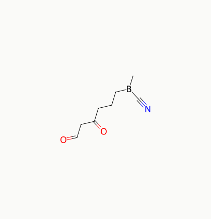 CB(C#N)CCCC(=O)CC=O